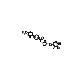 Cc1c(OC[C@@H]2CC[C@H](CC(=O)N3CCN(c4ccc(C(F)(F)F)cn4)CC3)O2)cn[nH]c1=O